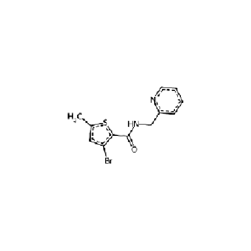 Cc1cc(Br)c(C(=O)NCc2ccccn2)s1